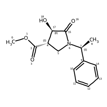 COC(=O)[C@H]1CN([C@@H](C)c2ccccc2)C(=O)[C@@H]1O